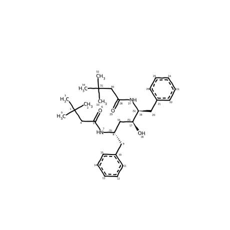 CC(C)(C)CC(=O)N[C@@H](Cc1ccccc1)C[C@H](O)[C@H](Cc1ccccc1)NC(=O)CC(C)(C)C